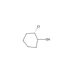 OC1CCCC[C@@H]1Cl